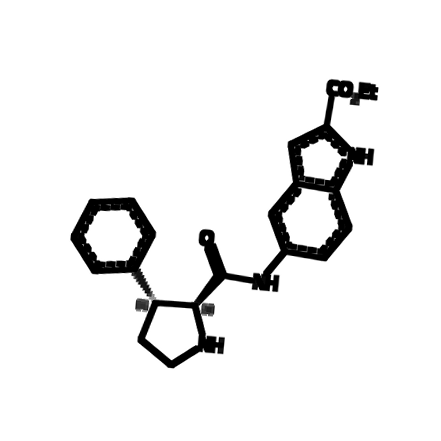 CCOC(=O)c1cc2cc(NC(=O)[C@H]3NCC[C@@H]3c3ccccc3)ccc2[nH]1